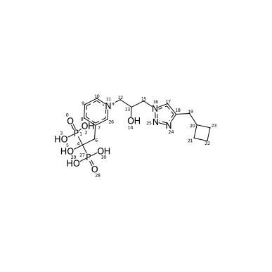 O=P(O)(O)C(O)(Cc1ccc[n+](CC(O)Cn2cc(CC3CCC3)nn2)c1)P(=O)(O)O